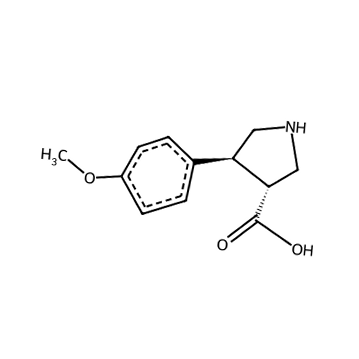 COc1ccc([C@H]2CNC[C@@H]2C(=O)O)cc1